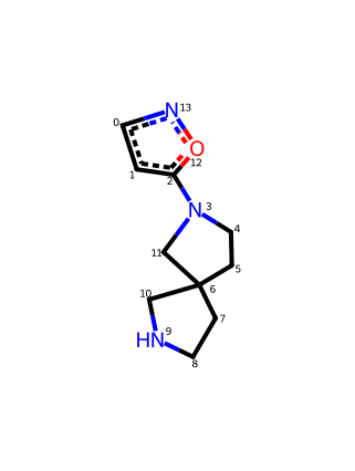 c1cc(N2CCC3(CCNC3)C2)on1